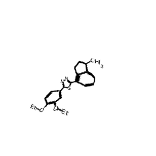 CCOc1ccc(-c2nnc(-c3cccc4c3CCC4C)s2)cc1OCC